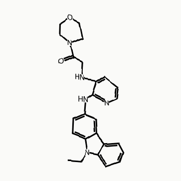 CCn1c2ccccc2c2cc(Nc3ncccc3NCC(=O)N3CCOCC3)ccc21